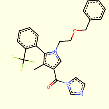 Cc1c(C(=O)n2ccnc2)cn(CCOCc2ccccc2)c1-c1ccccc1C(F)(F)F